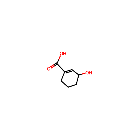 O=C(O)C1=CC(O)CCC1